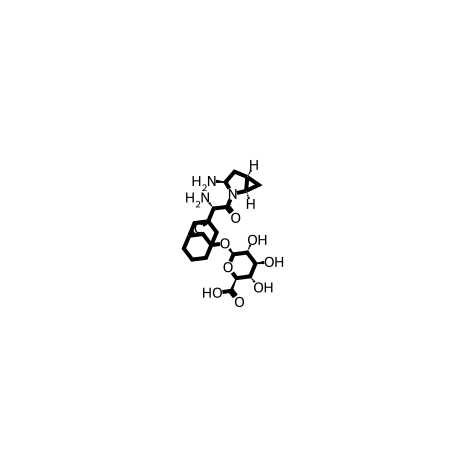 N[C@H](C(=O)N1[C@@H]2C[C@@H]2C[C@@H]1N)C12CC3(CCCC(O[C@@H]4O[C@H](C(=O)O)[C@@H](O)[C@H](O)[C@H]4O)(C3)C1)C2